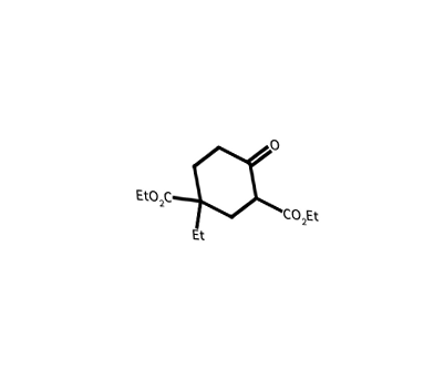 CCOC(=O)C1CC(CC)(C(=O)OCC)CCC1=O